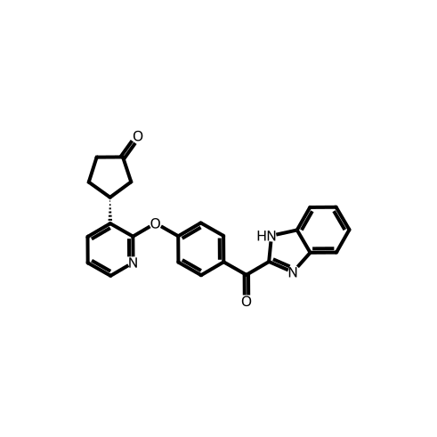 O=C1CC[C@@H](c2cccnc2Oc2ccc(C(=O)c3nc4ccccc4[nH]3)cc2)C1